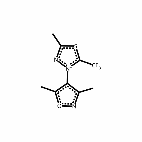 Cc1n[n+](-c2c(C)noc2C)c(C(F)(F)F)s1